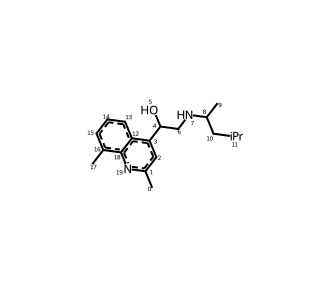 Cc1cc(C(O)CNC(C)CC(C)C)c2cccc(C)c2n1